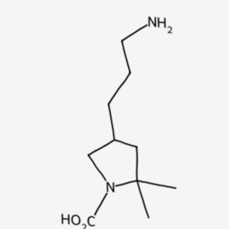 CC1(C)CC(CCCN)CN1C(=O)O